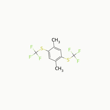 Cc1cc(SC(F)(F)F)c(C)cc1SC(F)(F)F